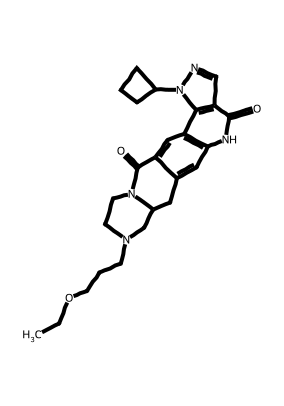 CCOCCCN1CCN2C(=O)c3cc4c(cc3CC2C1)[nH]c(=O)c1cnn(C2CCC2)c14